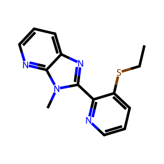 CCSc1cccnc1-c1nc2cccnc2n1C